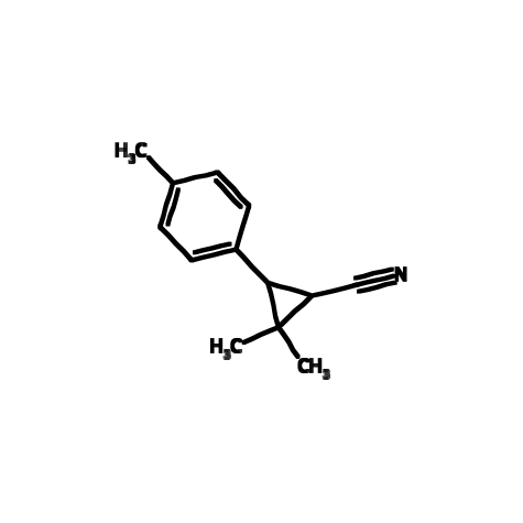 Cc1ccc(C2C(C#N)C2(C)C)cc1